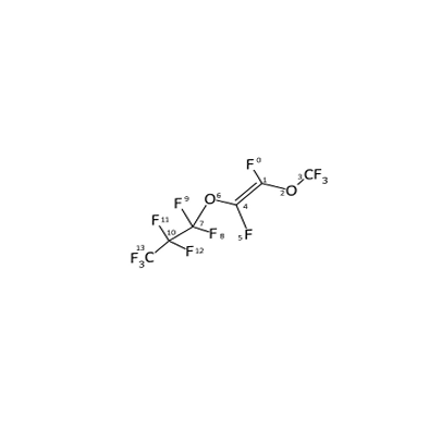 FC(OC(F)(F)F)=C(F)OC(F)(F)C(F)(F)C(F)(F)F